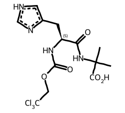 CC(C)(NC(=O)[C@H](Cc1c[nH]cn1)NC(=O)OCC(Cl)(Cl)Cl)C(=O)O